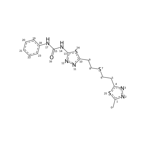 Cc1nnc(CCSCCc2nnc(NC(=O)Nc3ccccc3)s2)s1